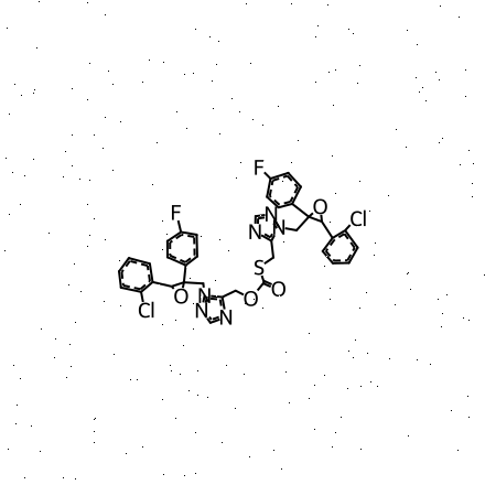 O=C(OCc1ncnn1CC1(c2ccc(F)cc2)OC1c1ccccc1Cl)SCc1ncnn1CC1(c2ccc(F)cc2)OC1c1ccccc1Cl